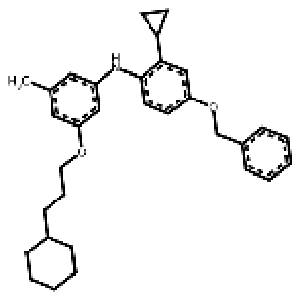 Cc1cc(Nc2ccc(OCc3ccccc3)cc2C2CC2)cc(OCCCC2CCCCC2)c1